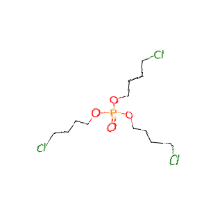 O=P(OCCCCCl)(OCCCCCl)OCCCCCl